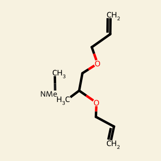 C=CCOCC(C)OCC=C.CNC